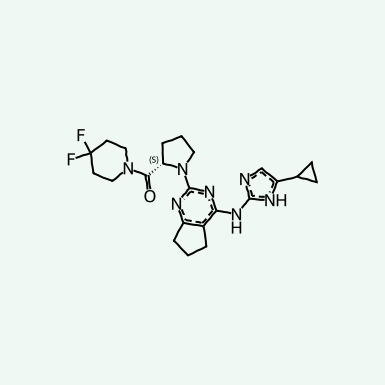 O=C([C@@H]1CCCN1c1nc2c(c(Nc3ncc(C4CC4)[nH]3)n1)CCC2)N1CCC(F)(F)CC1